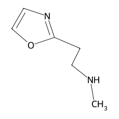 CNCCc1ncco1